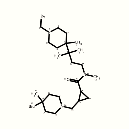 CC(C)CN1CCC(C)(C(C)(C)CCN(C)C(=O)C2CC2CN2CCC(C)(C(C)(C)C)CC2)CC1